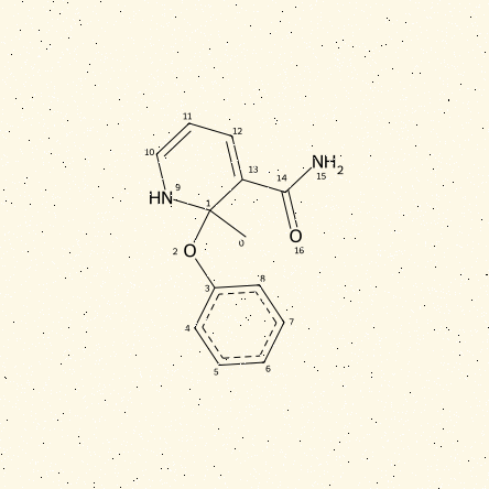 CC1(Oc2ccccc2)NC=CC=C1C(N)=O